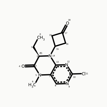 CC[C@@H]1C(=O)N(C)c2cnc(Cl)nc2N1C1CC(=O)C1